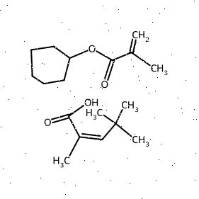 C=C(C)C(=O)OC1CCCCC1.CC(=CC(C)(C)C)C(=O)O